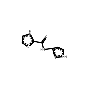 O=C(Nc1cc[nH]n1)c1ncc[nH]1